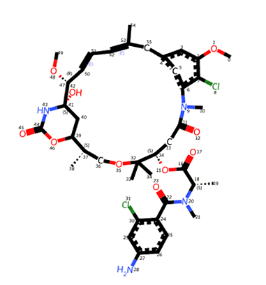 COc1cc2cc(c1Cl)N(C)C(=O)C[C@H](OC(=O)[C@H](C)N(C)C(=O)c1ccc(N)cc1Cl)C(C)(C)OC[C@H](C)C1C[C@@](O)(NC(=O)O1)[C@H](OC)/C=C/C=C(\C)C2